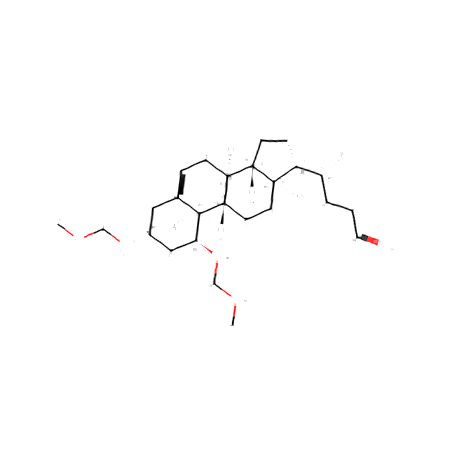 COCO[C@@H]1CC2=CC[C@H]3[C@@H]4CC[C@H]([C@H](C)CCC=O)[C@@]4(C)CC[C@@H]3[C@@]2(C)[C@@H](OCOC)C1